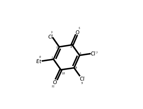 CCC1=C(Cl)C(=O)C(Cl)=C(Cl)C1=O